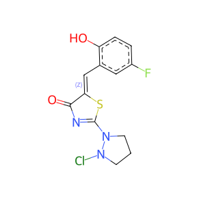 O=C1N=C(N2CCCN2Cl)S/C1=C\c1cc(F)ccc1O